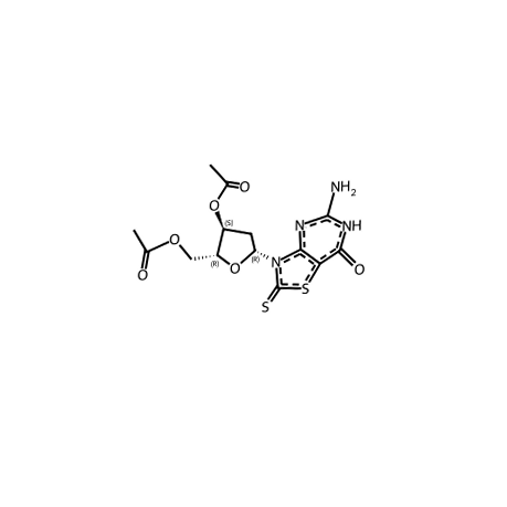 CC(=O)OC[C@H]1O[C@@H](n2c(=S)sc3c(=O)[nH]c(N)nc32)C[C@@H]1OC(C)=O